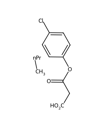 CCCC.O=C(O)CC(=O)Oc1ccc(Cl)cc1